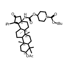 CC(=O)O[C@H]1CC[C@@]2(C)C(CC[C@]3(C)C2CCC2C4=C(C(C)C)C(=O)C[C@]4(NC(=O)OC4CCN(C(=O)OC(C)(C)C)CC4)CC[C@]23C)C1(C)C